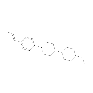 CCCCOC1CCC(C2CCC(c3ccc(C=C(F)F)cc3)CC2)CC1